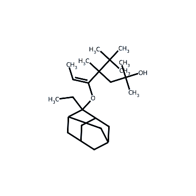 CC=C(OC1(CC)C2CC3CC(C2)CC1C3)C(C)(CC(C)(C)O)C(C)(C)C